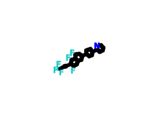 Fc1cc2cc(-c3ccc(-c4ccccn4)cc3)cc(F)c2c(F)c1C#CC(F)(F)F